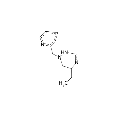 CCC1CN(Cc2ccccn2)NC=N1